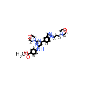 COC(=O)c1ccc(Nc2cc(-c3ccc4c(cnn4CCCN4CCOCC4)c3)nc(N3CCOCC3)n2)cc1